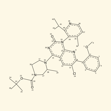 COc1ccccc1-c1nc2c(cc1Cl)c(N1CCN(C(=O)OC(C)(C)C)CC1C)nc(=O)n2-c1c(C)ccnc1C(C)C